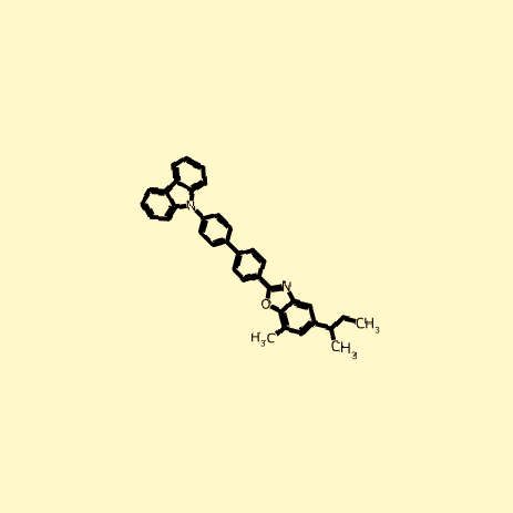 CCC(C)c1cc(C)c2oc(-c3ccc(-c4ccc(-n5c6ccccc6c6ccccc65)cc4)cc3)nc2c1